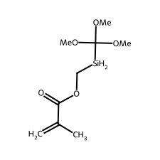 C=C(C)C(=O)OC[SiH2]C(OC)(OC)OC